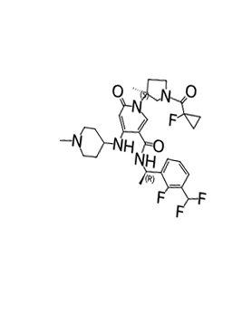 C[C@@H](NC(=O)c1cn([C@@]2(C)CCN(C(=O)C3(F)CC3)C2)c(=O)cc1NC1CCN(C)CC1)c1cccc(C(F)F)c1F